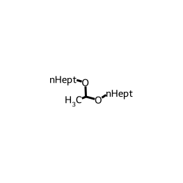 CCCCCCCOC(C)OCCCCCCC